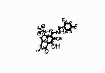 CN1CC2CC(NS(C)(=O)=O)c3c(C(=O)NCc4ccc(F)cc4F)c(=O)c(O)c(n32)C1=O